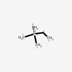 B[PH](C)(C)CC